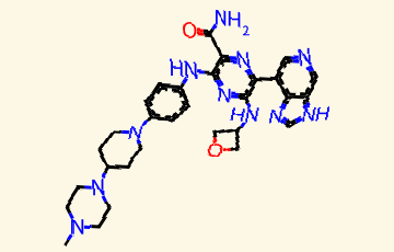 CN1CCN(C2CCN(c3ccc(Nc4nc(NC5COC5)c(-c5cncc6[nH]cnc56)nc4C(N)=O)cc3)CC2)CC1